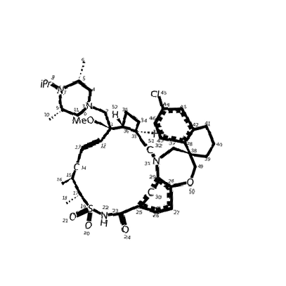 CO[C@]1(CN2C[C@@H](C)N(C(C)C)[C@@H](C)C2)/C=C/C[C@H](C)[C@@H](C)S(=O)(=O)NC(=O)c2ccc3c(c2)N(C[C@@H]2CC[C@H]21)C[C@@]1(CCCc2cc(Cl)ccc21)CO3